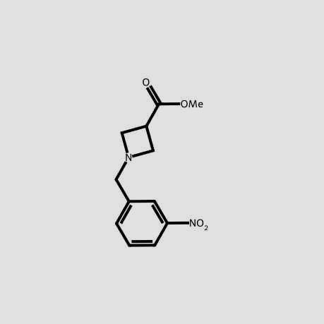 COC(=O)C1CN(Cc2cccc([N+](=O)[O-])c2)C1